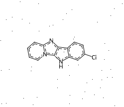 Clc1ccc2c(c1)[nH]c1c2nc2ccccn21